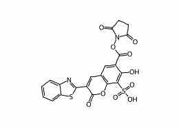 O=C(ON1C(=O)CCC1=O)c1cc2cc(-c3nc4ccccc4s3)c(=O)oc2c(S(=O)(=O)O)c1O